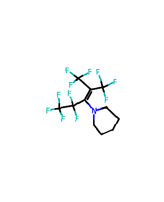 FC(F)(F)C(=C(N1CCCCC1)C(F)(F)C(F)(F)F)C(F)(F)F